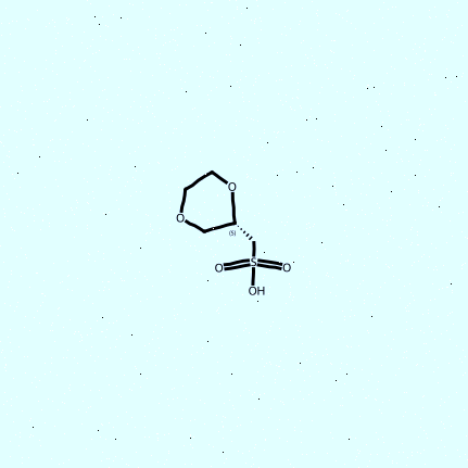 O=S(=O)(O)C[C@@H]1COCCO1